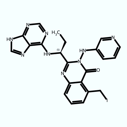 CC[C@H](Nc1ncnc2[nH]cnc12)c1nc2cccc(CI)c2c(=O)n1Nc1cccnc1